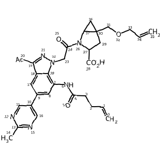 C=CCCC(=O)Nc1cc(-c2cnc(C)nc2)cc2c(C(C)=O)nn(CC(=O)N3C(C(=O)O)CC4(COCC=C)CC34)c12